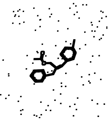 CC(=O)OCC(=Cc1ccc(C)cc1)Cc1ccccc1